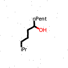 CCCCCC(O)CCCC(C)C